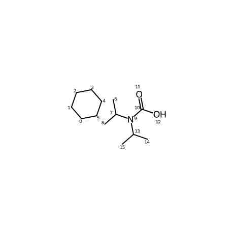 C1CCCCC1.CC(C)N(C(=O)O)C(C)C